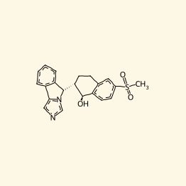 CS(=O)(=O)c1ccc2c(c1)CC[C@@H](C1c3ccccc3-c3cncn31)[C@@H]2O